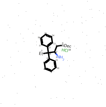 CCCCCCCCCCCC(N)C(CC)(c1ccccc1)c1ccccc1.Cl